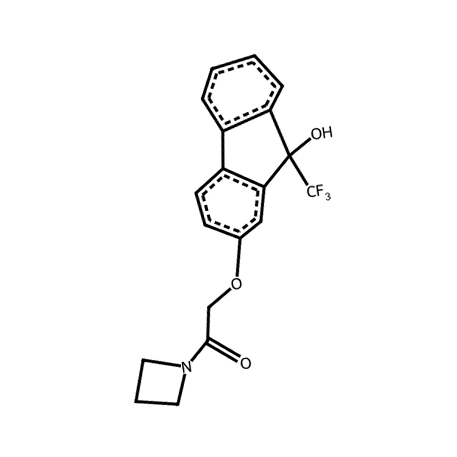 O=C(COc1ccc2c(c1)C(O)(C(F)(F)F)c1ccccc1-2)N1CCC1